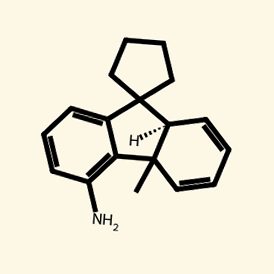 CC12C=CC=C[C@@H]1C1(CCCC1)c1cccc(N)c12